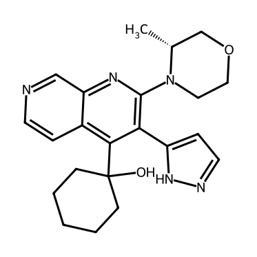 C[C@@H]1COCCN1c1nc2cnccc2c(C2(O)CCCCC2)c1-c1ccn[nH]1